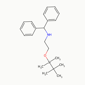 CC(C)(C)[Si](C)(C)OCCNC(c1ccccc1)c1ccccc1